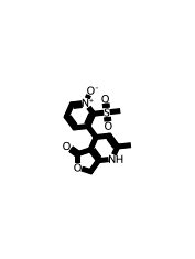 CC1=CC(c2ccc[n+]([O-])c2S(C)(=O)=O)C2=C(COC2=O)N1